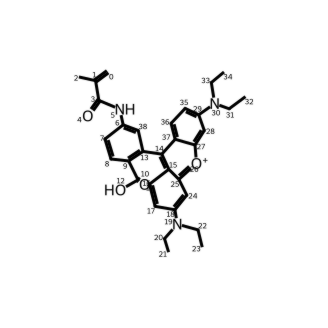 C=C(C)C(=O)Nc1ccc(C(=O)O)c(-c2c3ccc(N(CC)CC)cc3[o+]c3cc(N(CC)CC)ccc23)c1